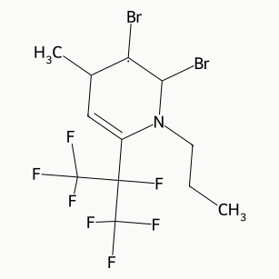 CCCN1C(C(F)(C(F)(F)F)C(F)(F)F)=CC(C)[C](Br)C1Br